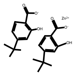 CC(C)(C)c1ccc(C(=O)[O-])c(O)c1.CC(C)(C)c1ccc(C(=O)[O-])c(O)c1.[Zn+2]